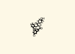 CN(C(=O)c1cc2cc(Cl)cnc2[nH]1)C(Cc1ccncc1Cl)C(=O)N1CCC(C)(O)CC1